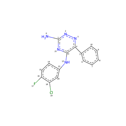 Nc1nnc(-c2ccccc2)c(Nc2ccc(F)c(Cl)c2)n1